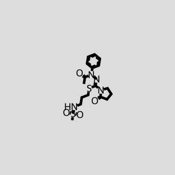 CC(=O)N(/N=C(\SCCCNS(C)(=O)=O)N1CCCC1=O)c1ccccc1